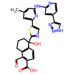 Cc1cc(Nc2cc(-c3c[nH]nn3)ccn2)nc(-c2cnc(C3(O)CCCc4c3ccc(C(=O)O)c4C=O)s2)c1